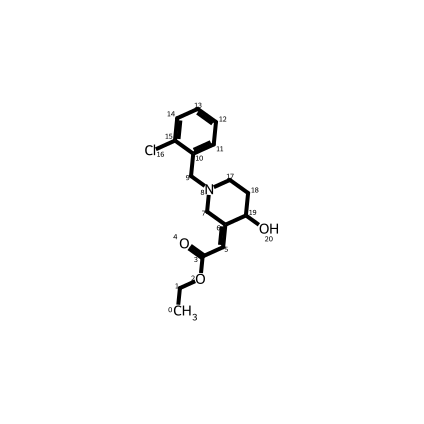 CCOC(=O)C=C1CN(Cc2ccccc2Cl)CCC1O